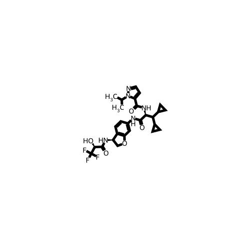 CC(C)n1nccc1C(=O)N[C@H](C(=O)Nc1ccc2c(c1)OC[C@H]2NC(=O)[C@H](O)C(F)(F)F)C(C1CC1)C1CC1